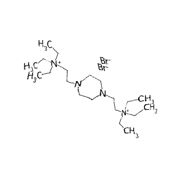 CC[N+](CC)(CC)CCN1CCN(CC[N+](CC)(CC)CC)CC1.[Br-].[Br-]